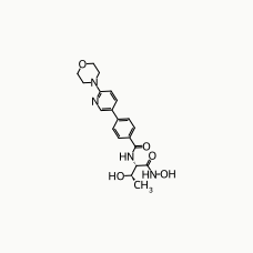 C[C@@H](O)[C@H](NC(=O)c1ccc(-c2ccc(N3CCOCC3)nc2)cc1)C(=O)NO